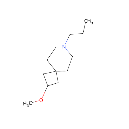 CCCN1CCC2(CC1)CC(OC)C2